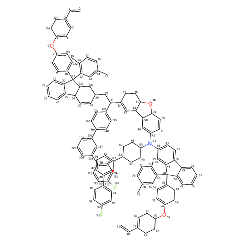 C=CC1=CC=C(Oc2ccc(C3(c4cc(C)ccc4C)c4ccccc4C4C=CC(CC(C5=CC6C(CC5)OC5C=CC(N(c7ccc8c(c7)C(C7=CC=C(OC9CC=C(C=C)CC9)CC7)(c7cc(C)ccc7C)c7ccccc7-8)C7CCC(c8cccc(-c9ccc(F)cc9)c8)CC7)=CC56)c5ccc(-c6cccc(-c7ccc(F)cc7)c6)cc5)CC43)cc2)CC1